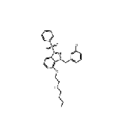 CCCCNCCOc1cccc2c(S(=O)(=O)c3ccccc3)nn(Cc3cccc(Cl)c3)c12